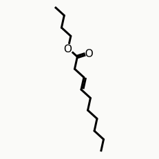 CCCCCC/C=C/CC(=O)OCCCC